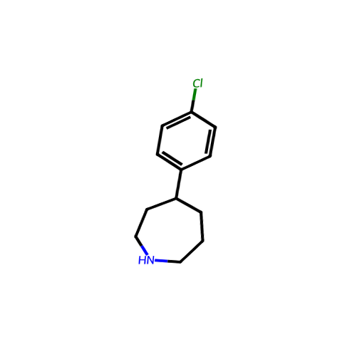 Clc1ccc(C2CCCNCC2)cc1